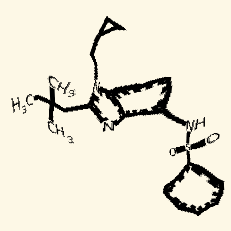 CC(C)(C)c1nc2cc(NS(=O)(=O)c3ccccc3)ccc2n1CC1CC1